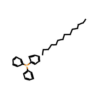 CCCCCCCCCCCCCC.c1ccc(P(c2ccccc2)c2ccccc2)cc1